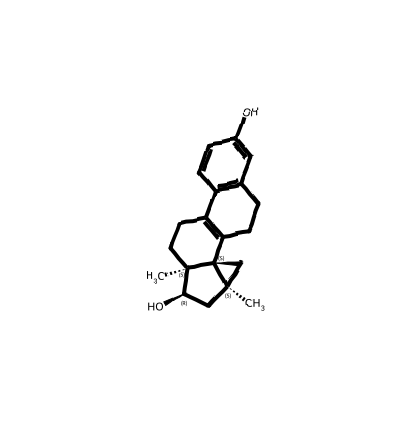 C[C@]12C[C@@H](O)[C@@]3(C)CCC4=C(CCc5cc(O)ccc54)[C@]13C2